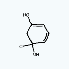 OC1=CC=CC(O)(Cl)C1